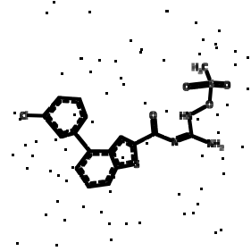 CS(=O)(=O)ONC(N)=NC(=O)c1cc2c(-c3cccc(Cl)c3)cccc2s1